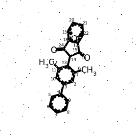 Cc1cc(-c2ccccc2)cc(C)c1C1C(=O)c2c(c3ccc2o3)C1=O